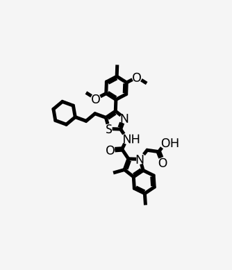 COc1cc(-c2nc(NC(=O)c3c(C)c4cc(C)ccc4n3CC(=O)O)sc2CCC2CCCCC2)c(OC)cc1C